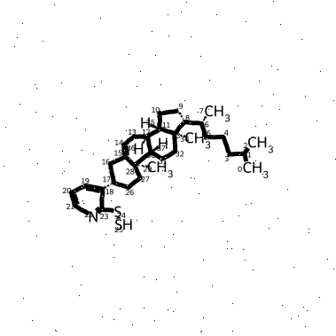 CC(C)CCC[C@@H](C)[C@H]1CC[C@H]2[C@@H]3CC=C4C[C@@H](c5cccnc5SS)CC[C@]4(C)[C@H]3CC[C@]12C